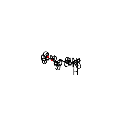 C=C(CCCOc1ccc(C2NC(=O)c3ccccc3N2)cc1OC)Oc1cc(C2CC(c3cc(OC)c(OC)c(OC)c3)=NO2)ccc1OC